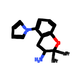 CCCC1(CCC)Oc2cccc(-n3cccc3)c2CC1N